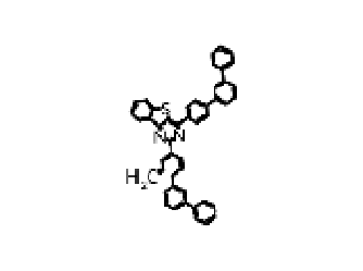 C=C/C=C(\C=C/Cc1cccc(-c2ccccc2)c1)c1nc(-c2ccc(-c3cccc(-c4ccccc4)c3)cc2)c2sc3ccccc3c2n1